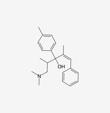 CC(=Cc1ccccc1)C(O)(c1ccc(C)cc1)C(C)CN(C)C